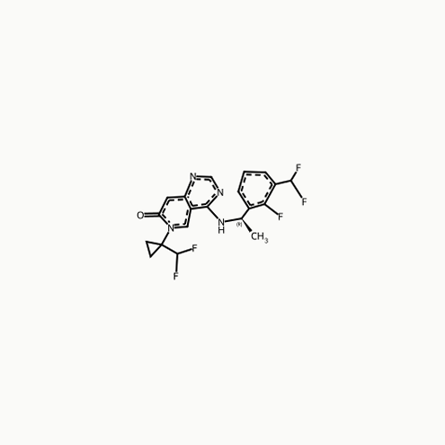 C[C@@H](Nc1ncnc2cc(=O)n(C3(C(F)F)CC3)cc12)c1cccc(C(F)F)c1F